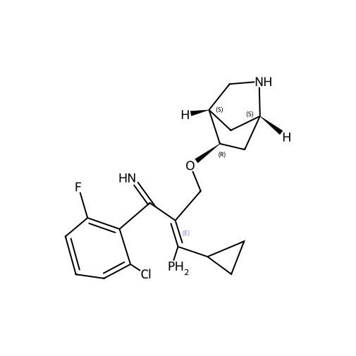 N=C(/C(CO[C@@H]1C[C@@H]2C[C@H]1CN2)=C(\P)C1CC1)c1c(F)cccc1Cl